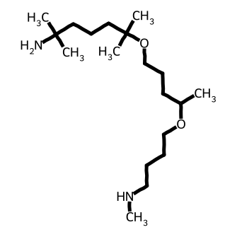 CNCCCCOC(C)CCCOC(C)(C)CCCC(C)(C)N